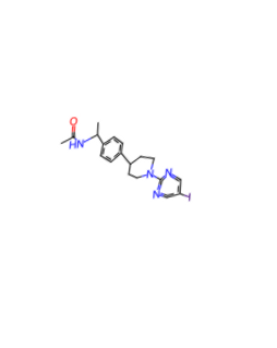 CC(=O)NC(C)c1ccc(C2CCN(c3ncc(I)cn3)CC2)cc1